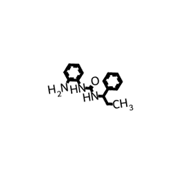 CCC(NC(=O)Nc1ccccc1N)c1ccccc1